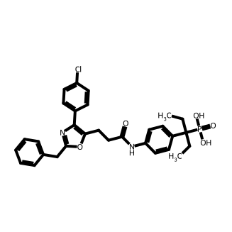 CCC(CC)(c1ccc(NC(=O)CCc2oc(Cc3ccccc3)nc2-c2ccc(Cl)cc2)cc1)P(=O)(O)O